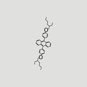 CCCCC(CC)COc1ccc(-c2c3ccccc3c(-c3ccc(OCC(CC)CCCC)cc3)c3ccccc23)cc1